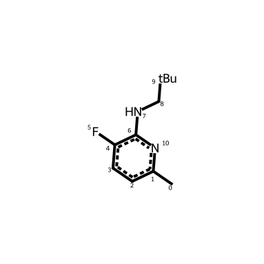 Cc1ccc(F)c(NCC(C)(C)C)n1